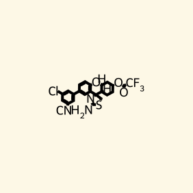 N#Cc1cc(Cl)cc(-c2ccc3c(c2)C2(CSC(N)=N2)[C@H]2CC[C@H](OC(=O)C(F)(F)F)C[C@@H]2O3)c1